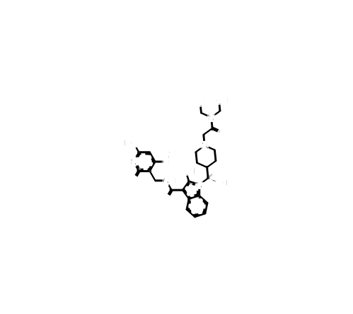 CCN(CC)C(=O)CN1CCC([C@@H](C)n2c(C)c(C(=O)NCc3c(OC)cc(C)[nH]c3=O)c3ccccc32)CC1